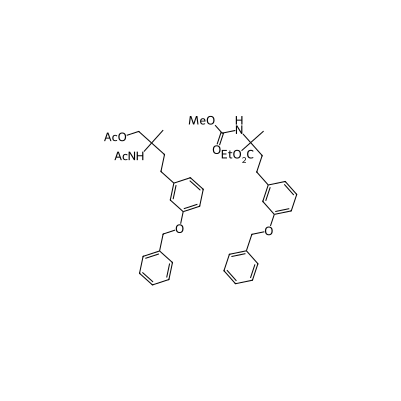 CC(=O)NC(C)(CCc1cccc(OCc2ccccc2)c1)COC(C)=O.CCOC(=O)C(C)(CCc1cccc(OCc2ccccc2)c1)NC(=O)OC